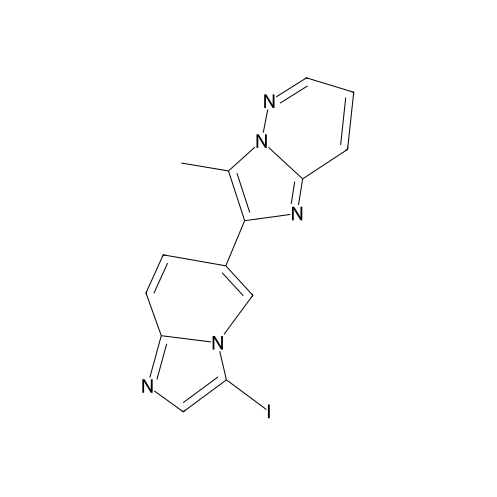 Cc1c(-c2ccc3ncc(I)n3c2)nc2cccnn12